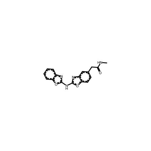 CNC(=O)Cc1ccc2oc(Nc3nc4ccccc4o3)nc2c1